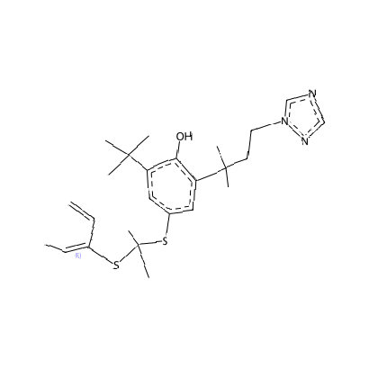 C=C/C(=C\C)SC(C)(C)Sc1cc(C(C)(C)C)c(O)c(C(C)(C)CCn2cncn2)c1